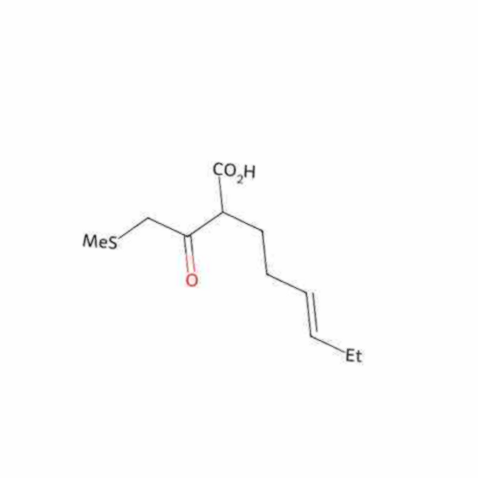 CCC=CCCC(C(=O)O)C(=O)CSC